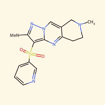 CNc1nn2cc3c(nc2c1S(=O)(=O)c1cccnc1)CCN(C)C3